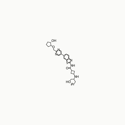 CC(C)CC(CO)NC1CC(C(=O)Nc2nc3ccc(-c4cnc(CO[C@H]5CCC[C@@H]5O)nc4)cc3s2)C1